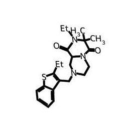 CCc1sc2ccccc2c1CN1CCN2C(=O)C(C)(C)N(CC)C(=O)C2C1